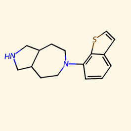 c1cc(N2CCC3CNCC3CC2)c2sccc2c1